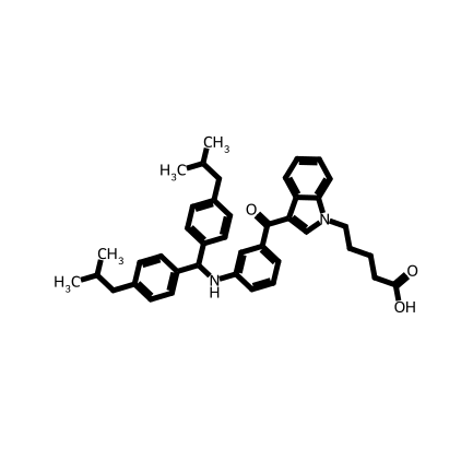 CC(C)Cc1ccc(C(Nc2cccc(C(=O)c3cn(CCCCC(=O)O)c4ccccc34)c2)c2ccc(CC(C)C)cc2)cc1